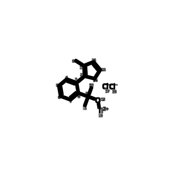 CC1=C(c2ccccc2C(C)(C)[O][Ti+2])CC=C1.[Cl-].[Cl-]